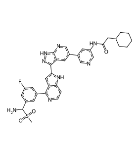 CS(=O)(=O)C(N)c1cc(F)cc(-c2nccc3[nH]c(-c4n[nH]c5ncc(-c6cncc(NC(=O)CC7CCCCC7)c6)cc45)cc23)c1